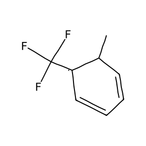 CC1C=CC=C[C]1C(F)(F)F